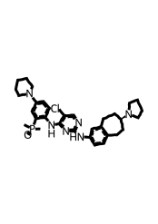 CP(C)(=O)c1cc(N2CCCCC2)ccc1Nc1nc(Nc2ccc3c(c2)CC[C@@H](N2CCCC2)CC3)ncc1Cl